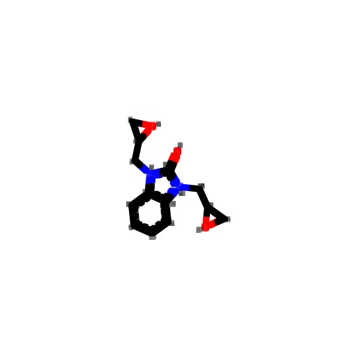 O=c1n(CC2CO2)c2ccccc2n1CC1CO1